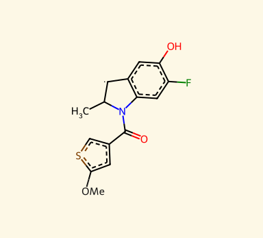 COc1cc(C(=O)N2c3cc(F)c(O)cc3[CH]C2C)cs1